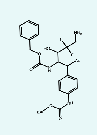 CC(=O)C(c1ccc(NC(=O)OC(C)(C)C)cc1)C(NC(=O)OCc1ccccc1)C(O)C(F)(F)CN